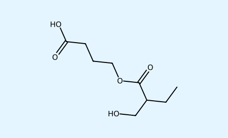 CCC(CO)C(=O)OCCCC(=O)O